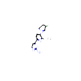 N#Cc1nc(-c2ccnc(N)n2)ccc1N1CCC(F)C1